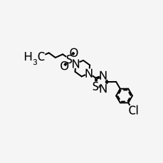 CCCCS(=O)(=O)N1CCN(c2nc(Cc3ccc(Cl)cc3)ns2)CC1